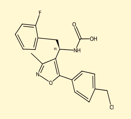 Cc1noc(-c2ccc(CCl)cc2)c1[C@@H](Cc1ccccc1F)NC(=O)O